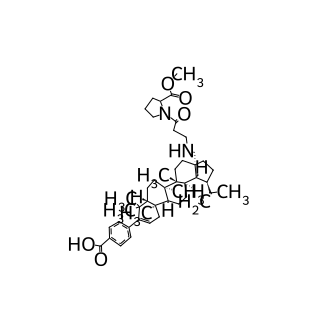 C=C(C)[C@@H]1CC[C@]2(CNCCC(=O)N3CCCC3C(=O)OC)CC[C@]3(C)[C@H](CC[C@@H]4[C@@]5(C)CC=C(c6ccc(C(=O)O)cc6)C(C)(C)[C@@H]5CC[C@]43C)[C@@H]12